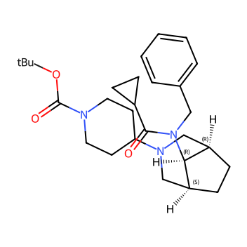 CC(C)(C)OC(=O)N1CCC(N2C[C@H]3CC[C@@H](C2)[C@H]3N(Cc2ccccc2)C(=O)C2CC2)CC1